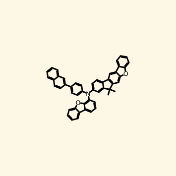 CC1(C)c2cc(N(c3ccc(-c4ccc5ccccc5c4)cc3)c3cccc4c3oc3ccccc34)ccc2-c2cc3c(cc21)oc1ccccc13